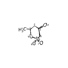 CC1CC(=O)CS(=O)(=O)O1